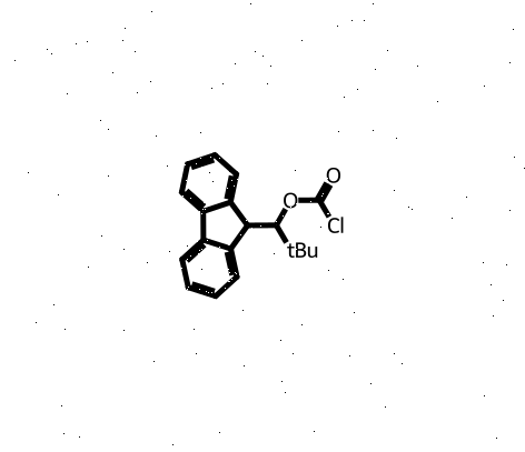 CC(C)(C)C(OC(=O)Cl)C1c2ccccc2-c2ccccc21